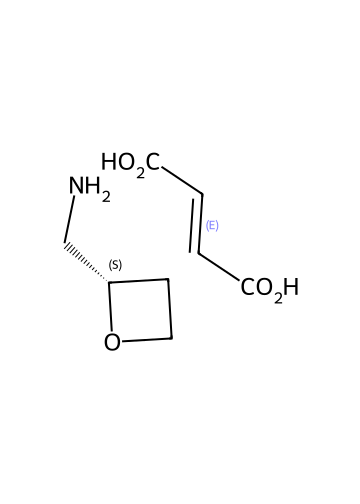 NC[C@@H]1CCO1.O=C(O)/C=C/C(=O)O